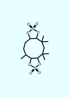 CC1CCC2OS(=O)(=O)OC2C(C)(C)CC(C)(C)C2OS(=O)(=O)OC12